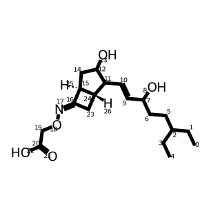 CCC(CC)CCC(O)C=CC1C(O)C[C@@H]2C(=NOCC(=O)O)C[C@@H]12